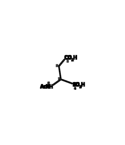 CC(=O)NC(CC(=O)O)S(=O)(=O)O